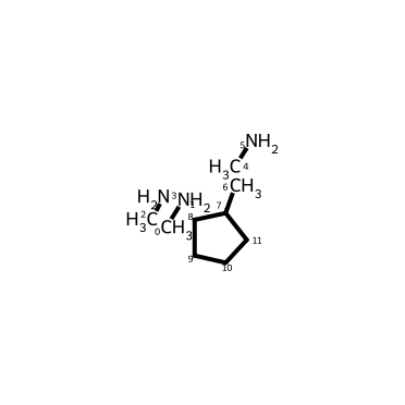 CN.CN.CN.C[C]1CCCC1